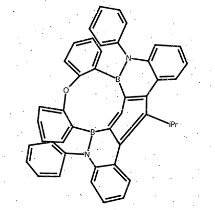 CC(C)c1c2c3cc4c1-c1ccccc1N(c1ccccc1)B4c1ccccc1Oc1ccccc1B3N(c1ccccc1)c1ccccc1-2